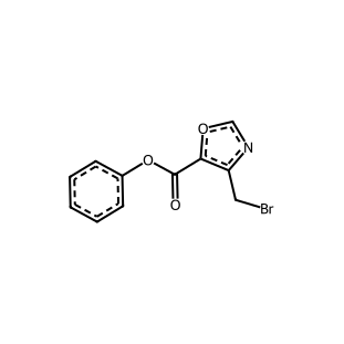 O=C(Oc1ccccc1)c1ocnc1CBr